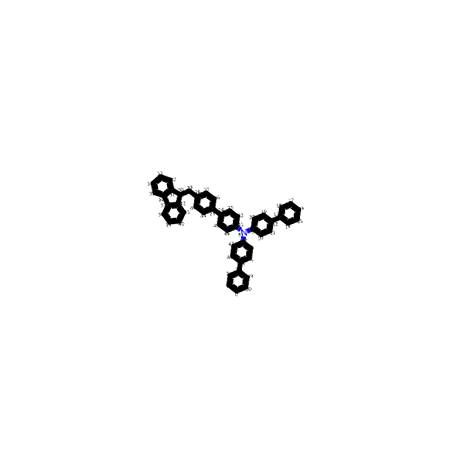 c1ccc(-c2ccc(N(c3ccc(-c4ccccc4)cc3)c3ccc(-c4ccc(CC5c6ccccc6-c6ccccc65)cc4)cc3)cc2)cc1